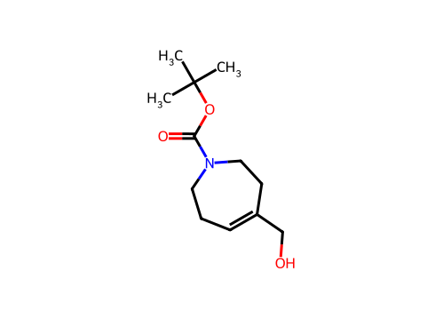 CC(C)(C)OC(=O)N1CCC=C(CO)CC1